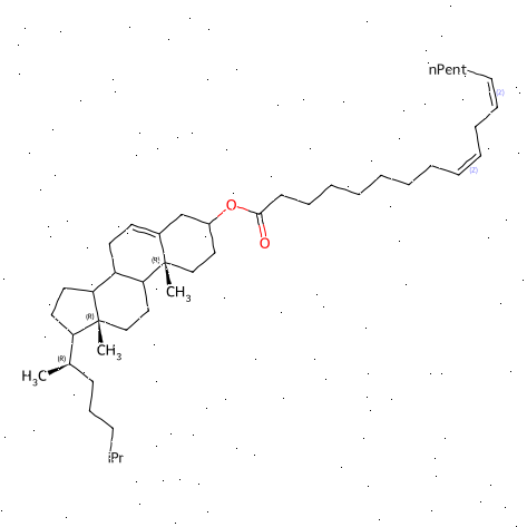 CCCCC/C=C\C/C=C\CCCCCCCC(=O)OC1CC[C@@]2(C)C(=CCC3C4CCC([C@H](C)CCCC(C)C)[C@@]4(C)CCC32)C1